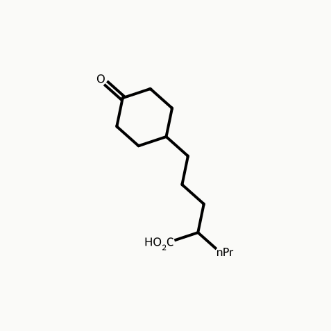 CCCC(CCCC1CCC(=O)CC1)C(=O)O